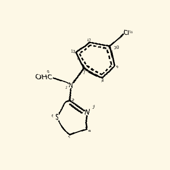 O=CN(C1=NCCS1)c1ccc(Cl)cc1